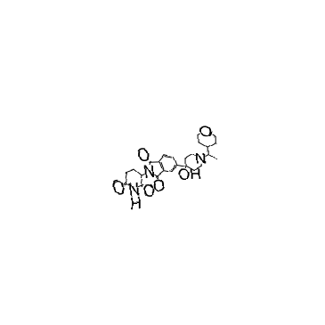 CC(C1CCOCC1)N1CCC(O)(c2ccc3c(c2)C(=O)N(C2CCC(=O)NC2=O)C3=O)CC1